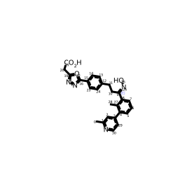 Cc1cc(-c2cccc(/C(CCc3ccc(-c4nnc(CC(=O)O)o4)cc3)=N/O)c2C)ccn1